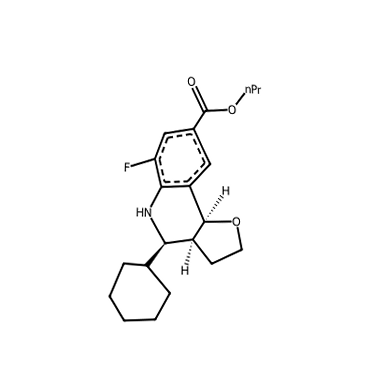 CCCOC(=O)c1cc(F)c2c(c1)[C@H]1OCC[C@H]1[C@@H](C1CCCCC1)N2